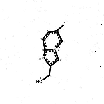 OCc1cn2cc(F)ccc2n1